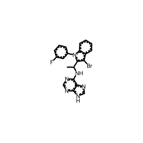 CC(Nc1ncnc2[nH]cnc12)c1c(Br)c2ccccc2n1-c1cccc(F)c1